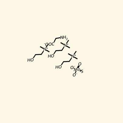 C[N+](C)(C)CCO.C[N+](C)(C)CCO.C[N+](C)(C)CCO.NCC(=O)[O-].[O]=[Mo]([O-])([O-])=[S]